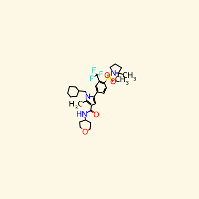 Cc1c(C(=O)NC2CCOCC2)cc(-c2ccc(S(=O)(=O)N3CCCC3(C)C)c(C(F)(F)F)c2)n1CC1CCCCC1